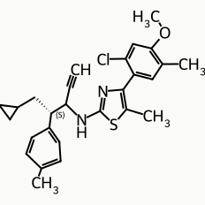 C#CC(Nc1nc(-c2cc(C)c(OC)cc2Cl)c(C)s1)[C@@H](CC1CC1)c1ccc(C)cc1